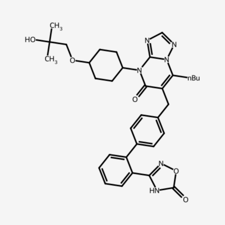 CCCCc1c(Cc2ccc(-c3ccccc3-c3noc(=O)[nH]3)cc2)c(=O)n(C2CCC(OCC(C)(C)O)CC2)c2ncnn12